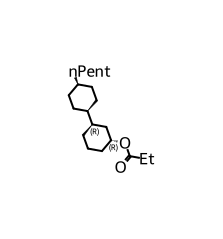 CCCCC[C@H]1CC[C@@H]([C@@H]2CCC[C@@H](OC(=O)CC)C2)CC1